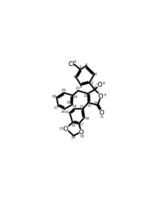 [O]C1(c2ccc(Cl)cc2)OC(=O)C(c2ccc3c(c2)OCO3)=C1Cc1ccccc1